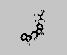 O=C1Nc2ccc(NC(=O)C(O)CO)cc2C1=Cc1c[nH]c2ccccc12